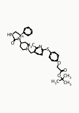 Cc1nc(Sc2ccc(OCC(=O)OC(C)(C)C)cc2)ccc1CN1CCC(N2C(=O)NC[C@H]2c2ccccc2)CC1